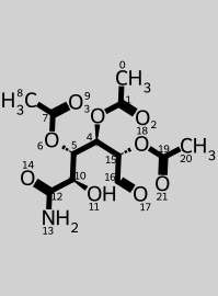 CC(=O)O[C@H]([C@@H](OC(C)=O)[C@@H](O)C(N)=O)[C@@H](C=O)OC(C)=O